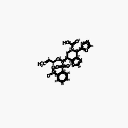 C=CCON(C1CN(C(=O)O)C(c2nnco2)c2ncsc21)S(=O)(=O)c1ccccc1[N+](=O)[O-]